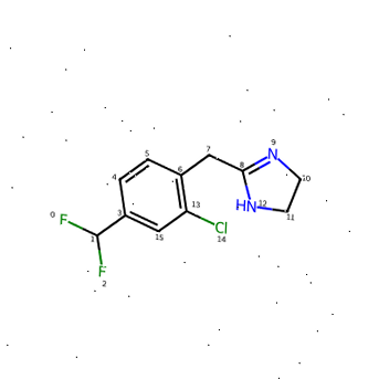 FC(F)c1ccc(CC2=NCCN2)c(Cl)c1